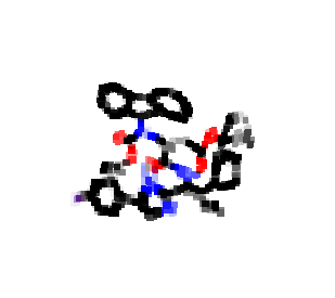 COC(=O)N(C1c2ccccc2-c2ccccc21)[C@H](CC(=O)OC(C)(C)C)C(=O)N[C@H](c1ncc(-c2ccc(I)cc2)[nH]1)[C@@H](C)c1ccccc1